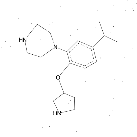 CC(C)c1ccc(OC2CCNC2)c(N2CCNCC2)c1